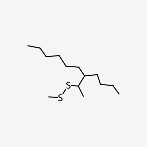 CCCCCCC(CCCC)C(C)SSC